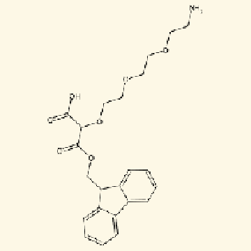 NCCOCCOCCOC(C(=O)O)C(=O)OCC1c2ccccc2-c2ccccc21